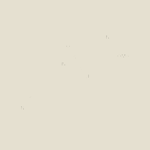 COc1cc(S(=O)(=O)Nc2cc(-c3ccns3)ccc2C)ccn1